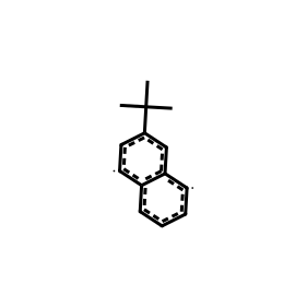 CC(C)(C)c1c[c]c2ccc[c]c2c1